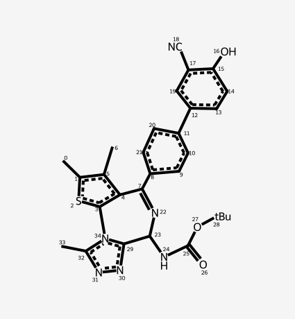 Cc1sc2c(c1C)C(c1ccc(-c3ccc(O)c(C#N)c3)cc1)=NC(NC(=O)OC(C)(C)C)c1nnc(C)n1-2